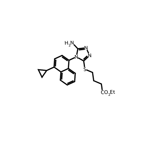 CCOC(=O)CCCSc1nnc(N)n1-c1ccc(C2CC2)c2ccccc12